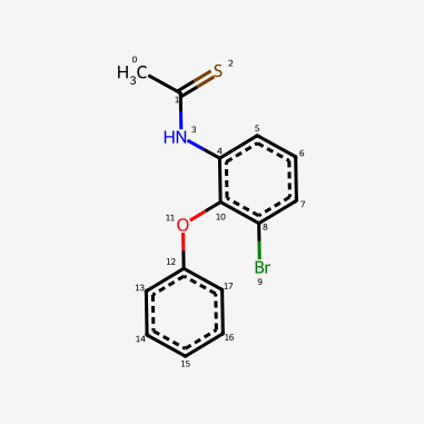 CC(=S)Nc1cccc(Br)c1Oc1ccccc1